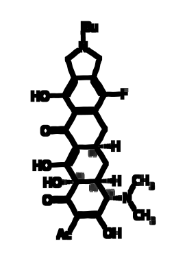 CCC(C)N1Cc2c(O)c3c(c(F)c2C1)C[C@H]1C[C@H]2[C@H](N(C)C)C(O)=C(C(C)=O)C(=O)[C@@]2(O)C(O)=C1C3=O